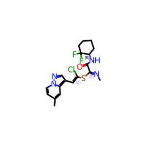 C/N=C(\S/C(Cl)=C/c1cnn2ccc(C)cc12)C(=O)N[C@@H]1CCCCC1(F)F